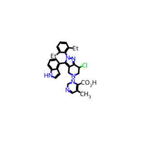 CCc1cccc(CC)c1-n1nc2c(c1-c1cccc3[nH]ccc13)CN(N1CN=CC(C)=C1C(=O)O)CC2Cl